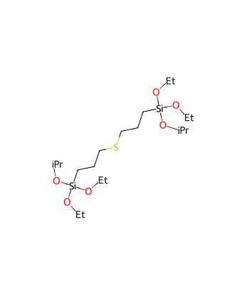 CCO[Si](CCCSCCC[Si](OCC)(OCC)OC(C)C)(OCC)OC(C)C